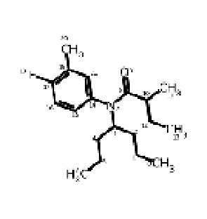 CCCC(CCC)N(C(=O)C(C)CC)c1ccc(F)c(C)c1